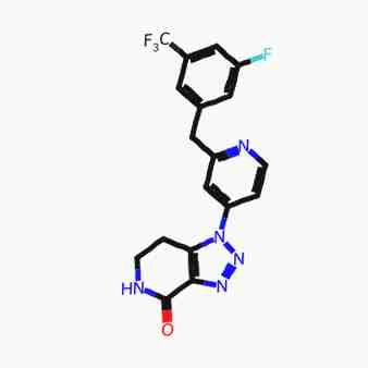 O=C1NCCc2c1nnn2-c1ccnc(Cc2cc(F)cc(C(F)(F)F)c2)c1